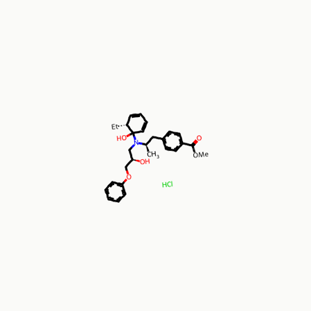 CC[C@@H]1C=CC=CC1(O)N(C[C@@H](O)COc1ccccc1)[C@H](C)Cc1ccc(C(=O)OC)cc1.Cl